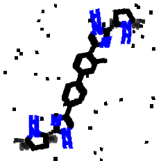 Cc1cc(-c2ccc(-c3c[nH]c([C@@H]4CC[C@H](C)N4)n3)cc2)ccc1-c1c[nH]c([C@@H]2CC[C@H](C)N2)n1